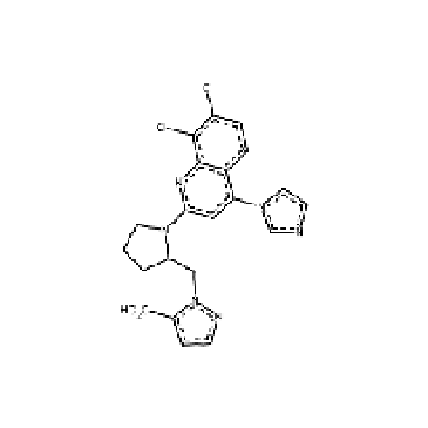 O=C(O)c1ccnn1CC1CCCN1c1cc(-n2ccnc2)c2ccc(Cl)c(Cl)c2n1